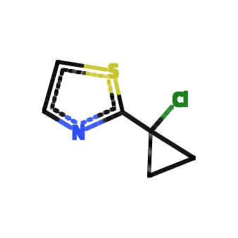 ClC1(c2nccs2)CC1